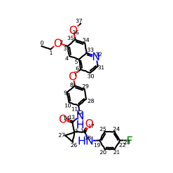 CCOc1cc2c(Oc3ccc(NC(=O)C4(C(=O)Nc5ccc(F)cc5)CC4)cc3)ccnc2cc1OC